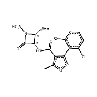 CS[C@@H]1[C@H](NC(=O)c2c(-c3c(Cl)cccc3Cl)noc2C)C(=O)N1S(=O)(=O)O